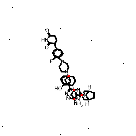 Nc1nnc(-c2ccccc2O)cc1N1C[C@H]2CC[C@@H](C1)N2C1=NC([C@H]2CC[C@@H](N3CCN(c4ccc(C5CCC(=O)NC5=O)cc4F)CC3)CC2)CC=N1